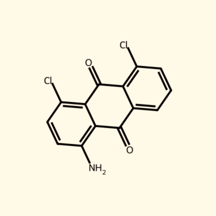 Nc1ccc(Cl)c2c1C(=O)c1cccc(Cl)c1C2=O